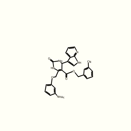 CC(=O)Nc1cccc(OCC2=C(C(=O)OCc3cccc(C#N)c3)C(c3c[nH]c4ncccc34)NC(=O)N2)c1